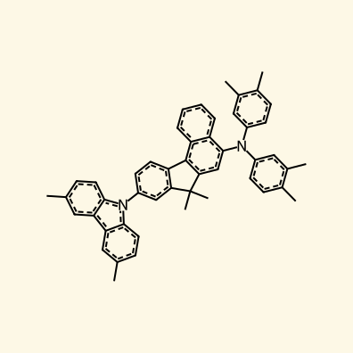 Cc1ccc2c(c1)c1cc(C)ccc1n2-c1ccc2c(c1)C(C)(C)c1cc(N(c3ccc(C)c(C)c3)c3ccc(C)c(C)c3)c3ccccc3c1-2